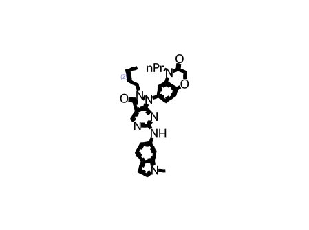 C/C=C\Cn1c(=O)c2cnc(Nc3ccc4ccn(C)c4c3)nc2n1-c1ccc2c(c1)N(CCC)C(=O)CO2